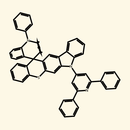 c1ccc(-c2cc(-n3c4ccccc4c4cc5c(cc43)Sc3ccccc3C53c4ccccc4N(c4ccccc4)c4ccccc43)cc(-c3ccccc3)n2)cc1